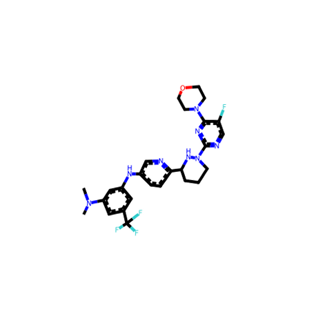 CN(C)c1cc(Nc2ccc(C3CCCN(c4ncc(F)c(N5CCOCC5)n4)N3)nc2)cc(C(F)(F)F)c1